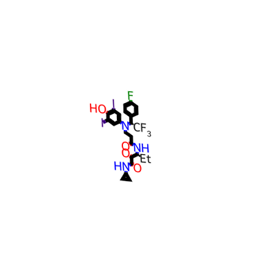 CC[C@H](NC(=O)CCN(c1cc(I)c(O)c(I)c1)[C@@H](c1ccc(F)cc1)C(F)(F)F)C(=O)C(=O)NC1CC1